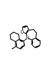 Cc1ccc(N2c3ccccc3CCc3ccoc32)c2c1CCCC2